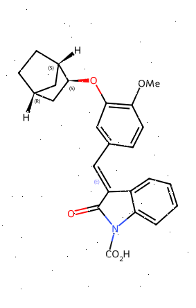 COc1ccc(/C=C2/C(=O)N(C(=O)O)c3ccccc32)cc1O[C@H]1C[C@@H]2CC[C@H]1C2